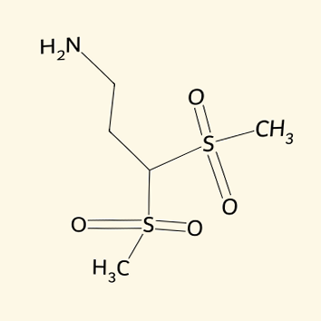 CS(=O)(=O)C(CCN)S(C)(=O)=O